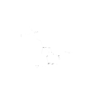 COC(=O)C12CC(COS(C)(=O)=O)(CN1C(=O)OC(C)(C)C)C2